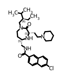 CC[C@@H](CN1CC[C@@H](CNC(=O)c2ccc3cc(Cl)ccc3c2)N[C@@H](CCN2CCCCC2)C1=O)C(C)C